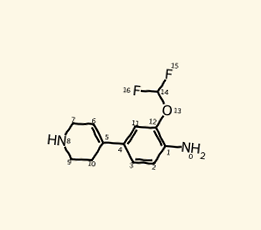 Nc1ccc(C2=CCNCC2)cc1OC(F)F